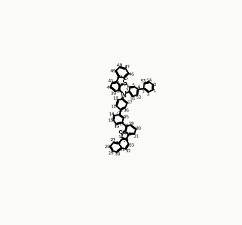 c1ccc(-c2ccc(N(c3ccc(-c4cccc(-c5cccc6c5sc5c7ccccc7ccc65)c4)cc3)c3cccc4c3sc3ccccc34)cc2)cc1